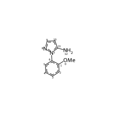 COc1ccccc1-n1nccc1N